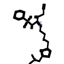 C#CCN/C(=N/CCSCc1ccc(CN(C)C)o1)NS(=O)(=O)c1ccccc1